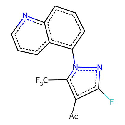 CC(=O)c1c(F)nn(-c2cccc3ncccc23)c1C(F)(F)F